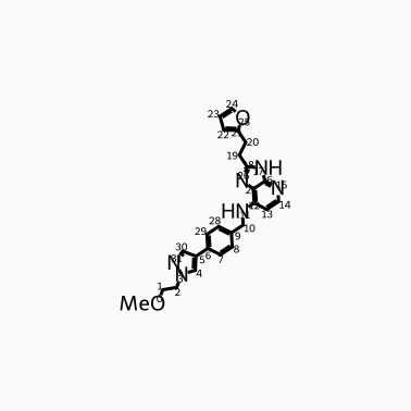 COCCn1cc(-c2ccc(CNc3ccnc4[nH]c(CCc5ccco5)nc34)cc2)cn1